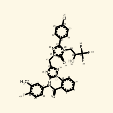 Cc1cc(NC(=O)c2ccccc2-n2cnc(Cn3nc(-c4ccc(Cl)cc4)n(CC(O)C(F)(F)F)c3=O)n2)ccc1F